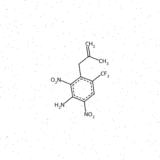 C=C(C)Cc1c(C(F)(F)F)cc([N+](=O)[O-])c(N)c1[N+](=O)[O-]